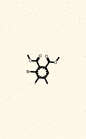 COC(=O)c1cc(C)c(I)c(Br)c1C(=O)OC